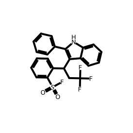 O=S(=O)(F)c1ccccc1C(CC(F)(F)F)c1c(-c2ccccc2)[nH]c2ccccc12